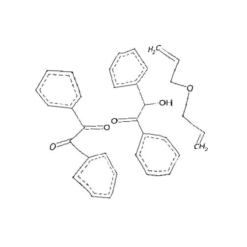 C=CCOCC=C.O=C(C(=O)c1ccccc1)c1ccccc1.O=C(c1ccccc1)C(O)c1ccccc1